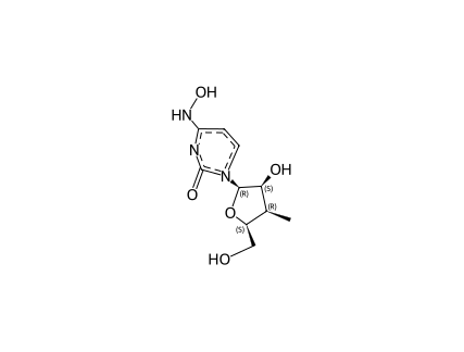 C[C@@H]1[C@H](O)[C@H](n2ccc(NO)nc2=O)O[C@@H]1CO